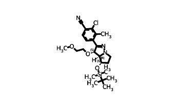 COCCO[C@@H]1C(c2ccc(C#N)c(Cl)c2C)=NN2CC[C@H](O[Si](C)(C)C(C)(C)C)[C@@H]12